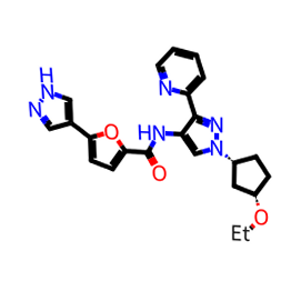 CCO[C@H]1CC[C@@H](n2cc(NC(=O)c3ccc(-c4cn[nH]c4)o3)c(-c3ccccn3)n2)C1